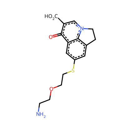 NCCOCCSc1cc2c3c(c1)c(=O)c(C(=O)O)cn3CC2